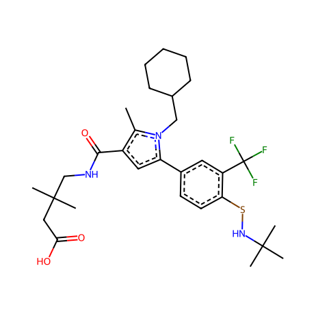 Cc1c(C(=O)NCC(C)(C)CC(=O)O)cc(-c2ccc(SNC(C)(C)C)c(C(F)(F)F)c2)n1CC1CCCCC1